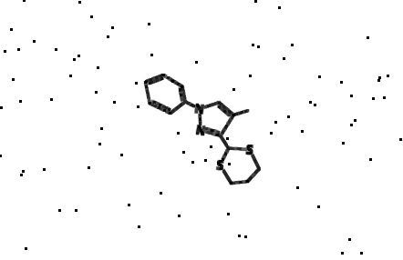 Cc1cn(-c2ccccc2)nc1C1SCCCS1